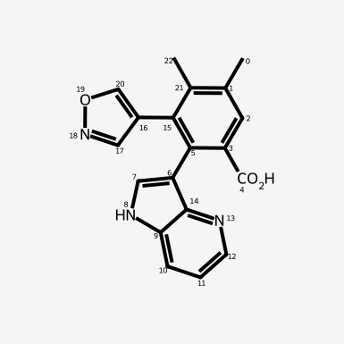 Cc1cc(C(=O)O)c(-c2c[nH]c3cccnc23)c(-c2cnoc2)c1C